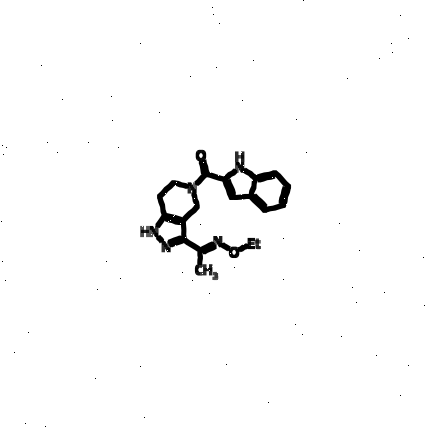 CCON=C(C)c1n[nH]c2c1CN(C(=O)c1cc3ccccc3[nH]1)CC2